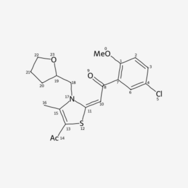 COc1ccc(Cl)cc1C(=O)C=C1SC(C(C)=O)=C(C)N1CC1CCCO1